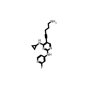 NCCCC#Cc1cnc(Nc2ccnc(F)c2)nc1NC1CC1